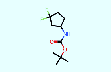 CC(C)(C)OC(=O)NC1CCC(F)(F)C1